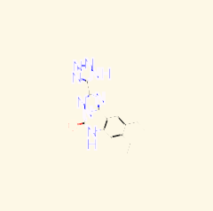 CCc1cc2[nH]c(=O)n3nc(-c4nnn[nH]4)nc3c2cc1CC